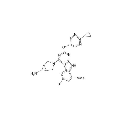 CNc1cc(F)cc2c1[nH]c1nc(Oc3cnc(C4CC4)nc3)nc(N3CC4C(N)C4C3)c12